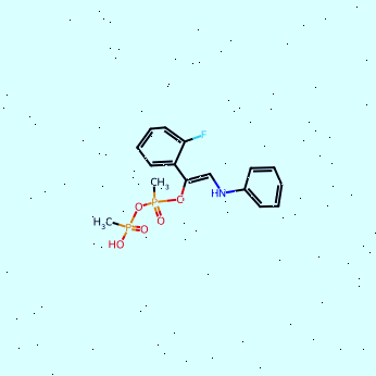 CP(=O)(O)OP(C)(=O)OC(=CNc1ccccc1)c1ccccc1F